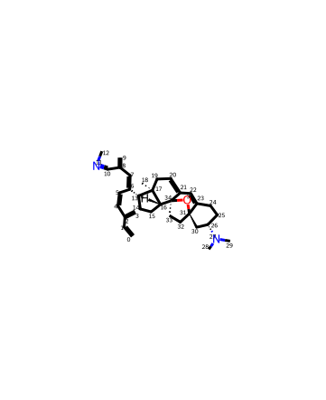 C=CC(=C)/C=C\C(=C/C(=C)/C=N\C)[C@H]1CC[C@@H]2[C@]1(C)CC=C1C=C3CC[C@H](N(C)C)C[C@]34CC[C@@]12O4